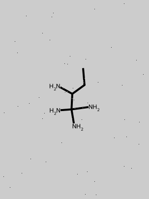 CCC(N)C(N)(N)N